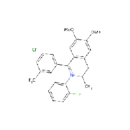 COc1cc2c(cc1OC)C(c1cccc(C(F)(F)F)c1)=[N+](c1ccccc1F)C(C)C2.[Cl-]